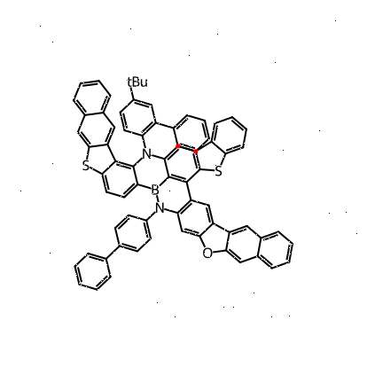 CC(C)(C)c1ccc(N2c3cc4c(sc5ccccc54)c4c3B(c3ccc5sc6cc7ccccc7cc6c5c32)N(c2ccc(-c3ccccc3)cc2)c2cc3oc5cc6ccccc6cc5c3cc2-4)c(-c2ccccc2)c1